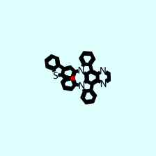 c1ccc(-n2c3ccccc3c3c4nccnc4c4c5ccccc5n(-c5ccc6sc7ccccc7c6c5)c4c32)cc1